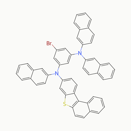 Brc1cc(N(c2ccc3ccccc3c2)c2ccc3ccccc3c2)cc(N(c2ccc3ccccc3c2)c2ccc3c(c2)sc2ccc4ccccc4c23)c1